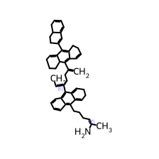 C=C(CC/C(=C\C)c1c2c(c(CCC/C=C(/C)N)c3ccccc13)=CCCC=2)C1=C2C=CCCC2=C(C2=CC3=CC=CCC3CC2)C2=CCCCC21